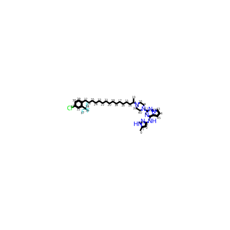 Cc1cc(Nc2nc(N3CCN(C(C)CCCCCCCCCCCCCCc4ccc(Cl)cc4C(F)(F)F)CC3)nn3cccc23)n[nH]1